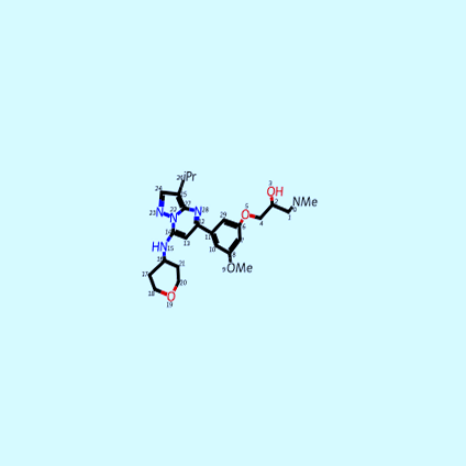 CNCC(O)COc1cc(OC)cc(-c2cc(NC3CCOCC3)n3ncc(C(C)C)c3n2)c1